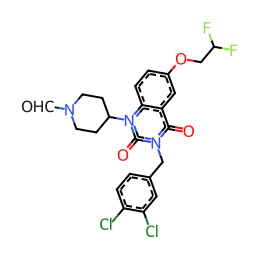 O=CN1CCC(n2c(=O)n(Cc3ccc(Cl)c(Cl)c3)c(=O)c3cc(OCC(F)F)ccc32)CC1